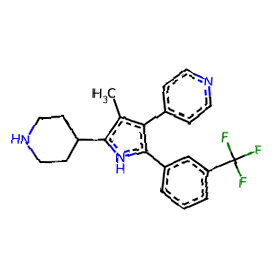 Cc1c(C2CCNCC2)[nH]c(-c2cccc(C(F)(F)F)c2)c1-c1ccncc1